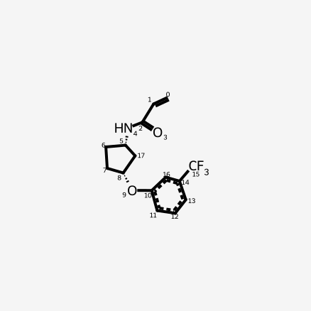 C=CC(=O)N[C@H]1CC[C@@H](Oc2cccc(C(F)(F)F)c2)C1